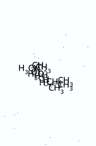 C=C(C)C(=O)N(C)[C@H]1CC[C@@]2(C)[C@@H](CC[C@@H]3[C@@H]2CC[C@]2(C)C([C@H](C)CCCC(C)C)CC[C@@H]32)C1